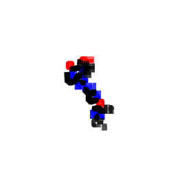 [2H]C([2H])([2H])N1c2nc(NCc3ccc(Oc4cnc(C(F)(F)F)nc4CC)nc3)nc3c2N(CCC3)C(=O)[C@@H]1CO